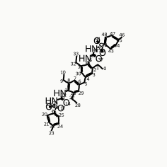 CCc1cc(Cc2cc(CC)c(NC(=O)NS(=O)(=O)c3ccc(C)cc3)c(CC)c2)cc(CC)c1NC(=O)NS(=O)(=O)c1ccc(C)cc1